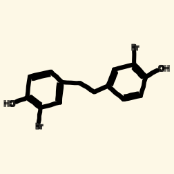 Oc1ccc(CCc2ccc(O)c(Br)c2)cc1Br